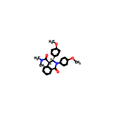 COc1ccc([C@H]2[C@H](C(=O)N(C)C)c3ccccc3C(=O)N2c2ccc(OC)cc2)cc1